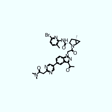 CC(=O)c1nn(CC(=O)N2C3C[C@]3(C)C[C@H]2C(=O)Nc2nc(Br)ccc2C)c2ccc(-c3cnc(CC(=O)N(C)C)nc3)cc12